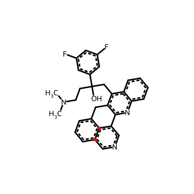 CN(C)CCC(O)(Cc1c(Cc2ccccc2)c(-c2cccnc2)nc2ccccc12)c1cc(F)cc(F)c1